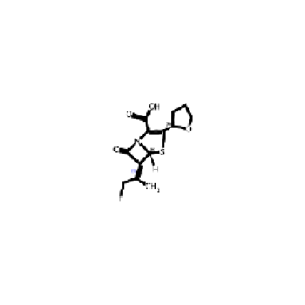 C/C(CF)=C1/C(=O)N2C(C(=O)O)=C([C@H]3CCCO3)S[C@H]12